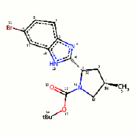 C[C@@H]1C[C@@H](c2nc3ccc(Br)cc3[nH]2)N(C(=O)OC(C)(C)C)C1